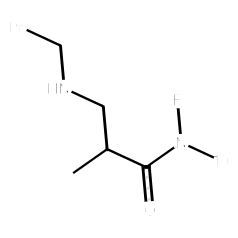 CCN(CC)C(=O)C(C)CNCC(C)C